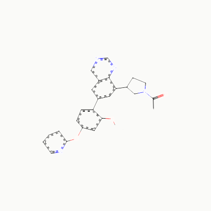 COc1cc(Oc2ccccn2)ccc1-c1cc(C2CCN(C(C)=O)C2)c2ncncc2c1